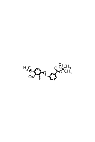 COc1ccc(OCc2cccc(C(=O)OC(C)(C)C)c2)c(F)c1C=O